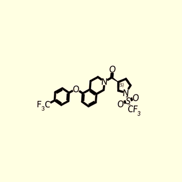 O=C([C@H]1CCN(S(=O)(=O)C(F)(F)F)C1)N1CCc2c(cccc2Oc2ccc(C(F)(F)F)cc2)C1